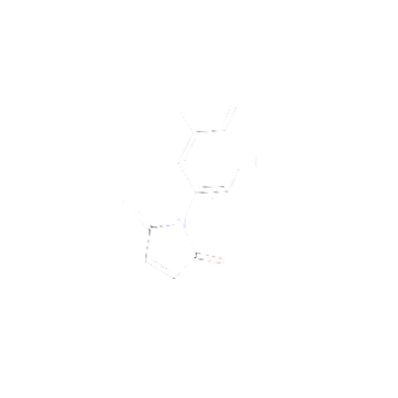 C=C/C(C)=C\C(=C/C)N1C(=O)C=CC1=O